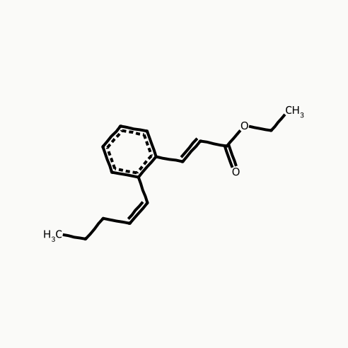 CCC/C=C\c1ccccc1/C=C/C(=O)OCC